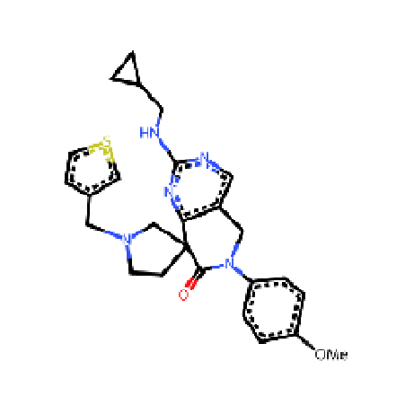 COc1ccc(N2Cc3cnc(NCC4CC4)nc3C3(CCN(Cc4ccsc4)C3)C2=O)cc1